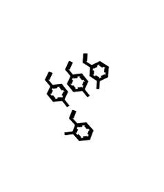 C=Cc1ccc(C)cc1.C=Cc1ccc(C)cc1.C=Cc1cccc(C)c1.C=Cc1ccccc1C